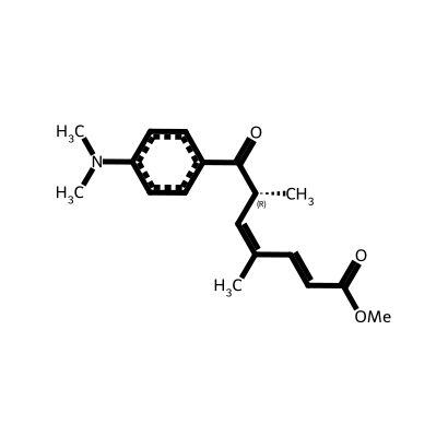 COC(=O)C=CC(C)=C[C@@H](C)C(=O)c1ccc(N(C)C)cc1